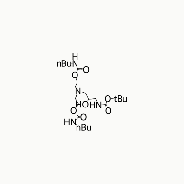 CCCCNC(=O)OCCN(CCOC(=O)NCCCC)CC(O)CNC(=O)OC(C)(C)C